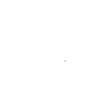 C=CN1CCCC1=O.CCCCOC(=O)C=CC(=O)OCCCC